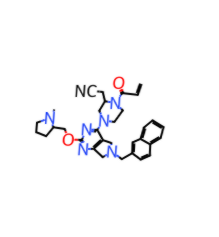 C=CC(=O)N1CCN(c2nc(OCC3CCCN3C)nc3c2CN(Cc2ccc4ccccc4c2)C3)CC1CC#N